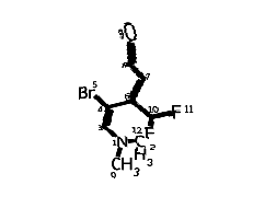 CN(C)/C=C(Br)\C(=C/C=O)C(F)F